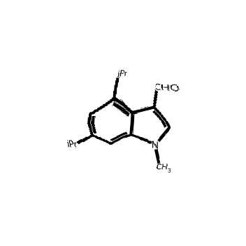 CC(C)c1cc(C(C)C)c2c(C=O)cn(C)c2c1